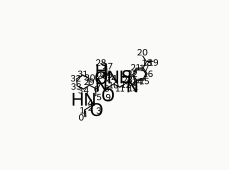 C=CC(=O)NCC(NC(=O)C(Cc1nc2ccc(C(C)C)cc2s1)NC(=O)CC)C1CCCCC1